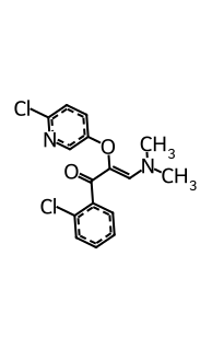 CN(C)C=C(Oc1ccc(Cl)nc1)C(=O)c1ccccc1Cl